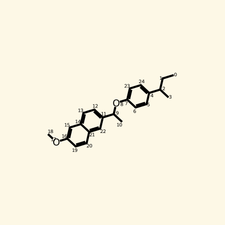 CCC(C)c1ccc(OC(C)c2ccc3cc(OC)ccc3c2)cc1